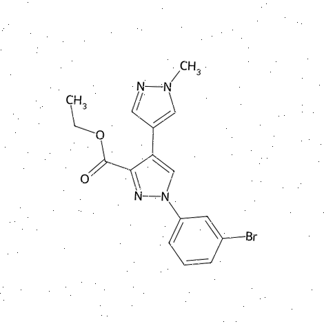 CCOC(=O)c1nn(-c2cccc(Br)c2)cc1-c1cnn(C)c1